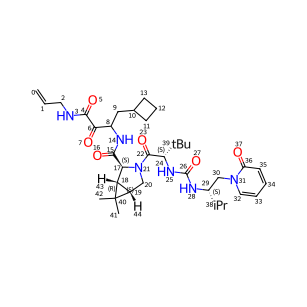 C=CCNC(=O)C(=O)C(CC1CCC1)NC(=O)[C@@H]1[C@@H]2[C@H](CN1C(=O)[C@@H](NC(=O)N[C@H](Cn1ccccc1=O)C(C)C)C(C)(C)C)C2(C)C